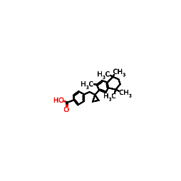 Cc1cc2c(cc1C1(Cc3ccc(C(=O)O)cc3)CC1)C(C)(C)CCC2(C)C